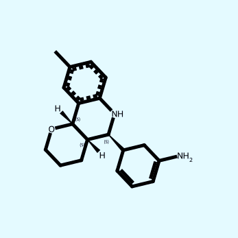 Cc1ccc2c(c1)[C@H]1OCCC[C@H]1[C@H](C1C=CC=C(N)C1)N2